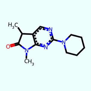 CC1C(=O)N(C)c2nc(N3CCCCC3)ncc21